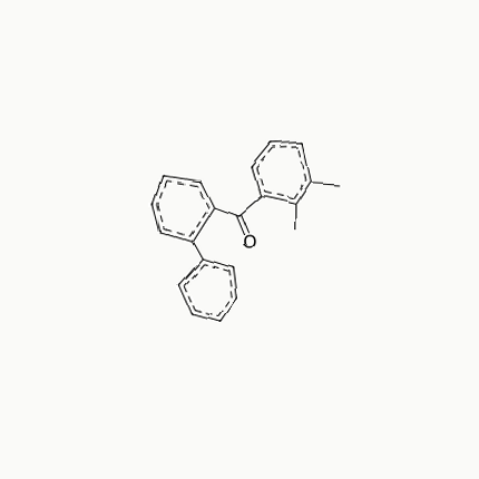 Cc1cccc(C(=O)c2ccccc2-c2ccccc2)c1C